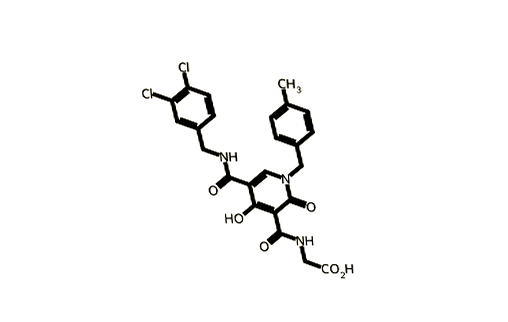 Cc1ccc(Cn2cc(C(=O)NCc3ccc(Cl)c(Cl)c3)c(O)c(C(=O)NCC(=O)O)c2=O)cc1